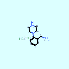 Cl.Cl.NCc1ccccc1N1CCNCC1